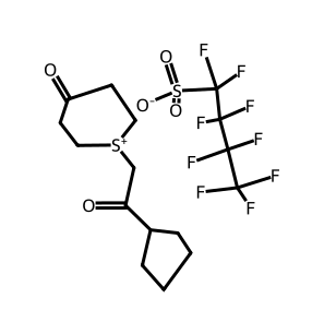 O=C1CC[S+](CC(=O)C2CCCC2)CC1.O=S(=O)([O-])C(F)(F)C(F)(F)C(F)(F)C(F)(F)F